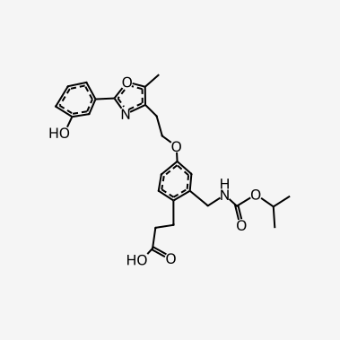 Cc1oc(-c2cccc(O)c2)nc1CCOc1ccc(CCC(=O)O)c(CNC(=O)OC(C)C)c1